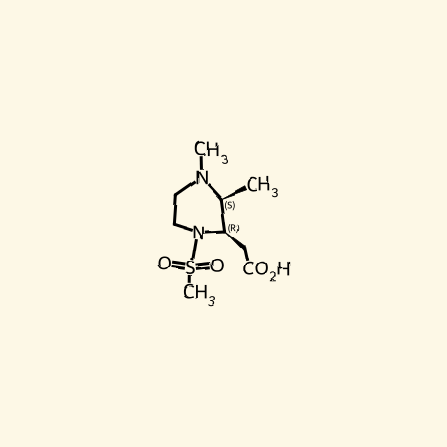 C[C@H]1[C@@H](CC(=O)O)N(S(C)(=O)=O)CCN1C